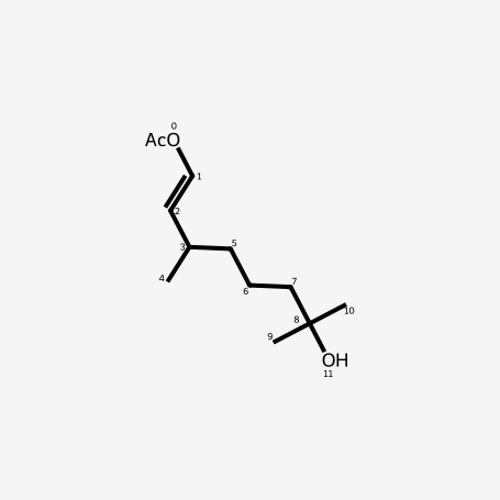 CC(=O)O/C=C/C(C)CCCC(C)(C)O